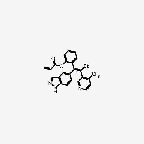 C=CC(=O)Oc1ccccc1/C(=C(\CC)c1cnccc1C(F)(F)F)c1ccc2[nH]ncc2c1